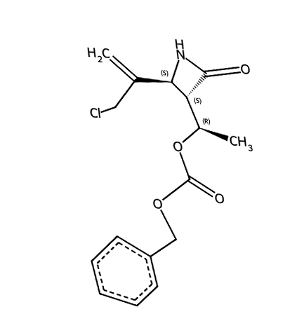 C=C(CCl)[C@H]1NC(=O)[C@@H]1[C@@H](C)OC(=O)OCc1ccccc1